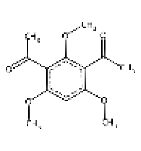 COc1cc(OC)c(C(C)=O)c(OC)c1C(C)=O